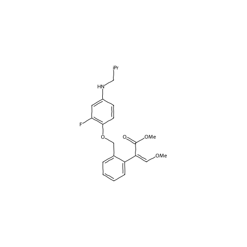 CO/C=C(\C(=O)OC)c1ccccc1COc1ccc(NCC(C)C)cc1F